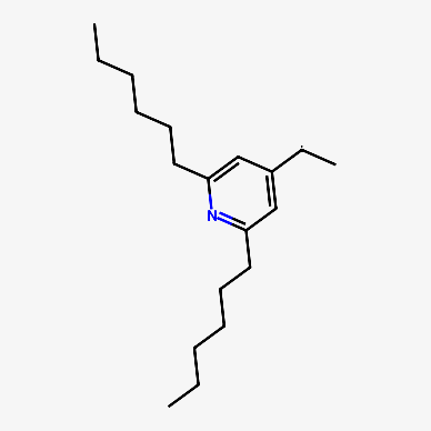 C[CH]c1cc(CCCCCC)nc(CCCCCC)c1